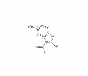 CC(=O)c1c(N)nn2ccc(N)nc12